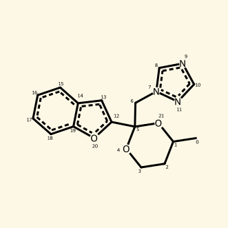 CC1CCOC(Cn2cncn2)(c2cc3ccccc3o2)O1